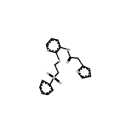 O=C(Cc1cccs1)Nc1cccnc1SCCS(=O)(=O)c1ccccc1